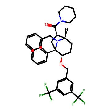 O=C([C@@H]1C[C@@]2(c3ccccc3)[C@H](OCc3cc(C(F)(F)F)cc(C(F)(F)F)c3)CC[C@@H]1N2Cc1ccccc1)N1CCCCC1